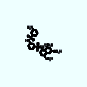 Nc1cccc(S(=O)(=O)Nc2cccc(S(=O)(=O)Nc3ccc(S(=O)(=O)O)c4cc(S(=O)(=O)O)cc(S(=O)(=O)O)c34)c2)c1